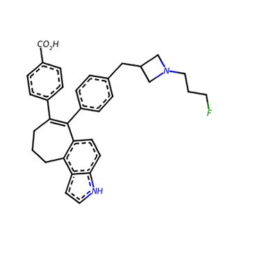 O=C(O)c1ccc(C2=C(c3ccc(CC4CN(CCCF)C4)cc3)c3ccc4[nH]ccc4c3CCC2)cc1